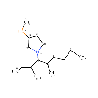 CCCCC(C)C(C(C)CC)N1CCC(PC)C1